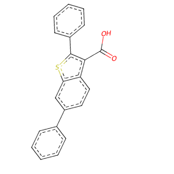 O=C(O)c1c(-c2ccccc2)sc2cc(-c3ccccc3)ccc12